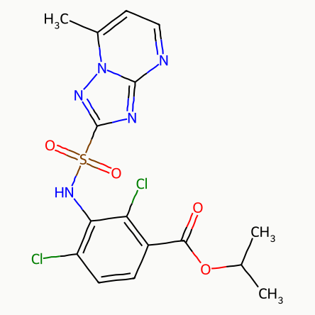 Cc1ccnc2nc(S(=O)(=O)Nc3c(Cl)ccc(C(=O)OC(C)C)c3Cl)nn12